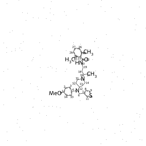 COc1ccc(N(Cc2ccsc2)C2CCN(C(C)CCNC(=O)c3c(C)cccc3C)CC2)cc1